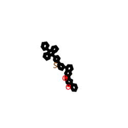 c1ccc(-c2c3ccccc3c(-c3ccc4c(c3)sc3ccc(-c5cccc6cc7c(cc56)oc5cc6oc8ccccc8c6cc57)cc34)c3ccccc23)cc1